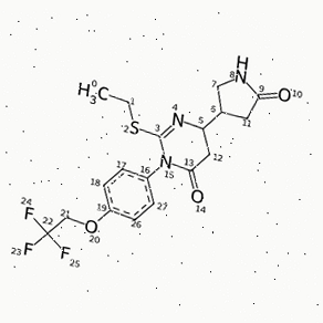 CCSC1=NC(C2CNC(=O)C2)CC(=O)N1c1ccc(OCC(F)(F)F)cc1